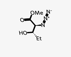 CC[C@H](O)[C@H](N=[N+]=[N-])C(=O)OC